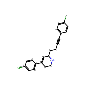 Fc1ccc(C#CCCC2C=C(c3ccc(Cl)cc3)CCN2)cc1